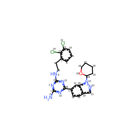 Nc1nc(NCCc2cccc(Cl)c2Cl)nc(-c2ccc3cnn(C4CCCCO4)c3c2)n1